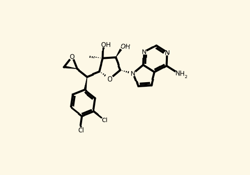 C[C@@]1(O)[C@@H]([C@@H](c2ccc(Cl)c(Cl)c2)[C@H]2CO2)O[C@@H](n2ccc3c(N)ncnc32)[C@@H]1O